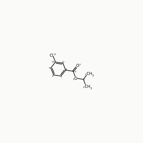 CC(C)OC(=O)c1cccc(Cl)c1